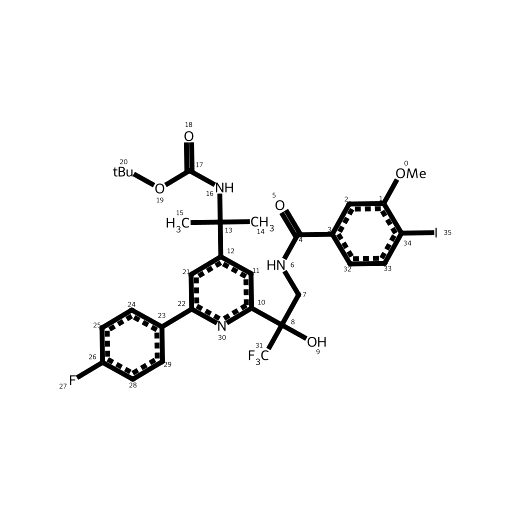 COc1cc(C(=O)NCC(O)(c2cc(C(C)(C)NC(=O)OC(C)(C)C)cc(-c3ccc(F)cc3)n2)C(F)(F)F)ccc1I